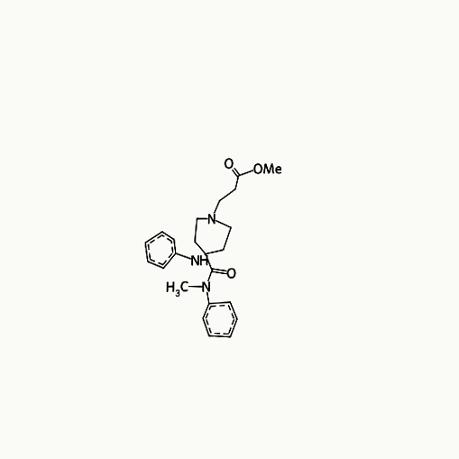 COC(=O)CCN1CCC(Nc2ccccc2)(C(=O)N(C)c2ccccc2)CC1